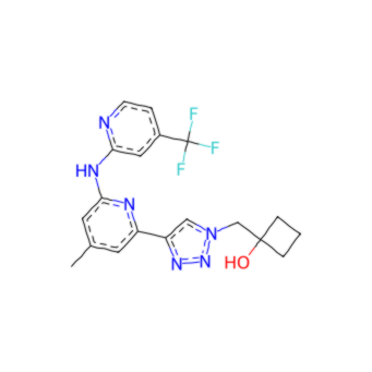 Cc1cc(Nc2cc(C(F)(F)F)ccn2)nc(-c2cn(CC3(O)CCC3)nn2)c1